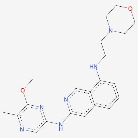 COc1nc(Nc2cc3cccc(NCCN4CCOCC4)c3cn2)cnc1C